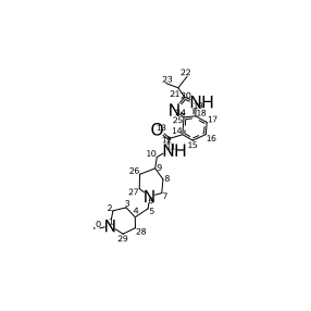 [CH2]N1CCC(CN2CCC(CNC(=O)c3cccc4[nH]c(C(C)C)nc34)CC2)CC1